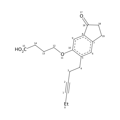 CCC#CCCc1cc2c(cc1OCCCC(=O)O)C(=O)CC2